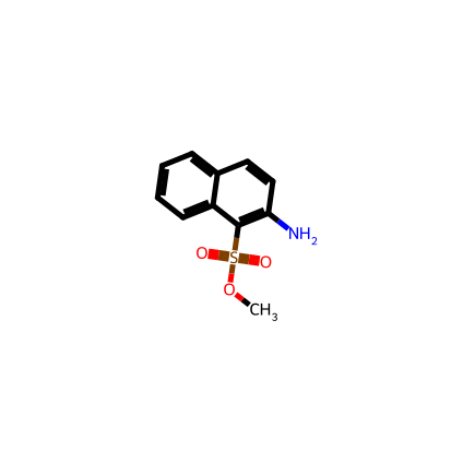 COS(=O)(=O)c1c(N)ccc2ccccc12